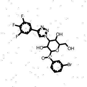 [O-][S+](c1cccc(Br)c1)C1OC(CO)C(O)C(n2cc(-c3cc(F)c(F)c(F)c3)nn2)C1O